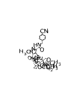 Cn1nc(C(=O)NCc2ccc(C#N)cc2)c2c1C(=O)N(CC1(S(=O)(=O)C(C)(C)C3(C(C)(C)C)COC(C)(C)N3C(=O)O)CC1)CC2